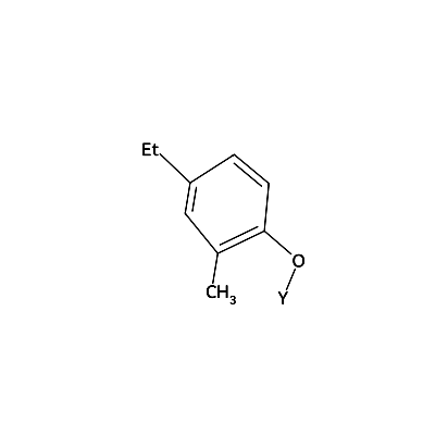 CCc1ccc([O][Y])c(C)c1